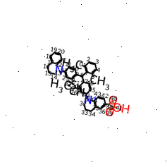 Cc1cccc(C)c1C1c2ccc(N3CCCc4ccccc43)cc2[Si](C)(C)C2=C/C(=[N+]3\CCCc4cc(S(=O)(=O)O)ccc43)C=CC21